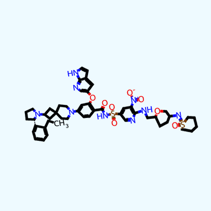 CCc1ccccc1[C@@H]1CCCN1C1CC2(CCN(c3ccc(C(=O)NS(=O)(=O)c4cnc(NCC5CCC(N=S6(=O)CCCCC6)CO5)c([N+](=O)[O-])c4)c(Oc4cnc5[nH]ccc5c4)c3)CC2)C1